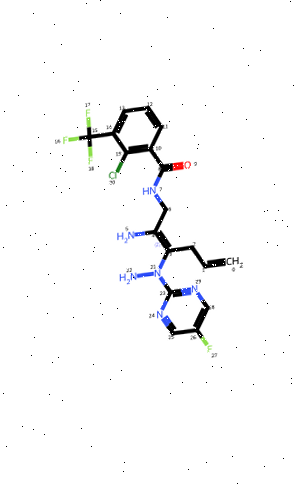 C=CC/C(=C(/N)CNC(=O)c1cccc(C(F)(F)F)c1Cl)N(N)c1ncc(F)cn1